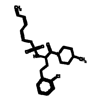 C=C/C=C\C=C/CS(=O)(=O)NC(CCc1ccccc1Cl)C(=O)N1CCC(C)CC1